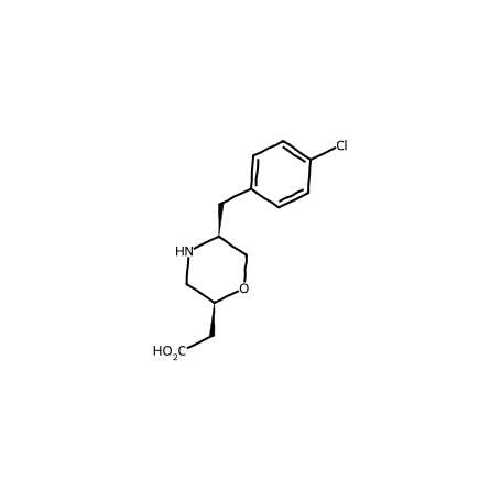 O=C(O)C[C@H]1CN[C@@H](Cc2ccc(Cl)cc2)CO1